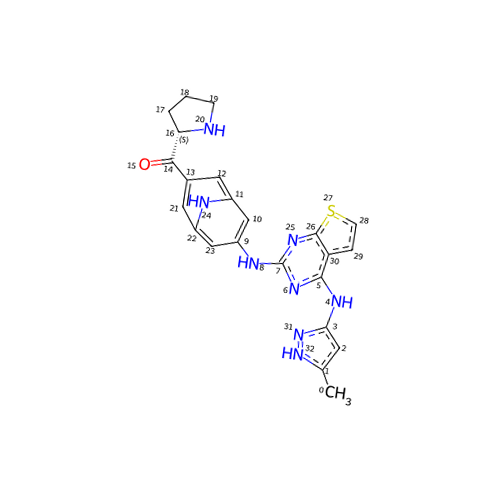 Cc1cc(Nc2nc(NC3=CC4=CC(C(=O)[C@@H]5CCCN5)=CC(=C3)N4)nc3sccc23)n[nH]1